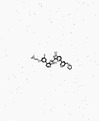 CN(C)CCOc1cc(F)cc(-c2ccnc3[nH]c(-c4n[nH]c5ccc(-c6cncc(CN7CCCC7)c6)nc45)nc23)c1